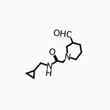 O=CC1CCCN(CC(=O)NCC2CC2)C1